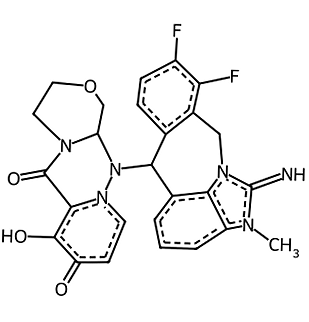 Cn1c(=N)n2c3c(cccc31)C(N1C3COCCN3C(=O)c3c(O)c(=O)ccn31)c1ccc(F)c(F)c1C2